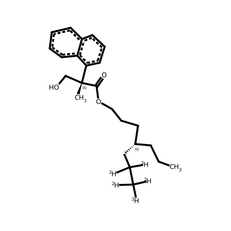 [2H]C([2H])([2H])C([2H])([2H])C[C@@H](CCC)CCCOC(=O)[C@](C)(CO)c1cccc2ccccc12